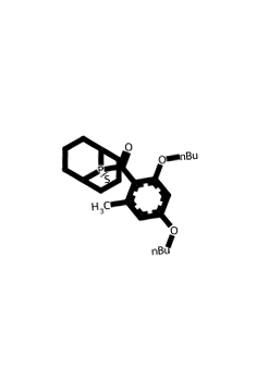 CCCCOc1cc(C)c(C(=O)P2(=S)C3CCCC2CCC3)c(OCCCC)c1